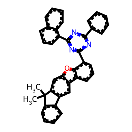 CC1(C)c2ccccc2-c2cc3c(cc21)oc1c(-c2nc(-c4ccccc4)nc(-c4cccc5ccccc45)n2)cccc13